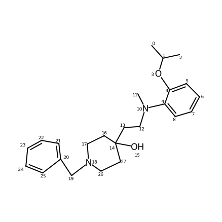 CC(C)Oc1ccccc1N(C)CCC1(O)CCN(Cc2ccccc2)CC1